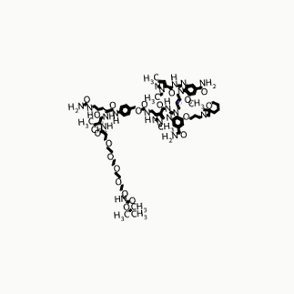 CCn1nc(C)cc1C(=O)Nc1nc2cc(C(N)=O)cc(OC)c2n1C/C=C/Cn1c(NC(=O)c2cn(C)nc2CNC(=O)OCc2ccc(NC(=O)[C@H](CCCNC(N)=O)NC(=O)[C@@H](NC(=O)CCOCCOCCOCCOCCONC(=O)OC(C)(C)C)C(C)C)cc2)nc2cc(C(N)=O)cc(OCCCN3CC4(CCCCO4)C3)c21